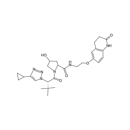 CC(C)(C)[C@@H](C(=O)N1CC(O)CC1C(=O)NCCOc1ccc2c(c1)CCC(=O)N2)n1cc(C2CC2)nn1